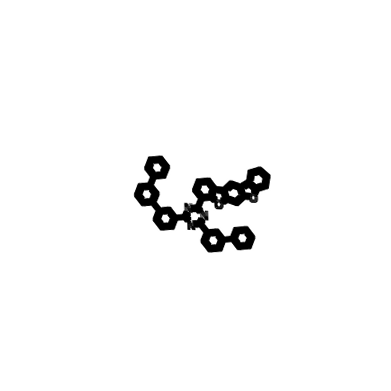 c1ccc(-c2cccc(-c3cccc(-c4nc(-c5cccc(-c6ccccc6)c5)nc(-c5cccc6c5oc5cc7oc8ccccc8c7cc56)n4)c3)c2)cc1